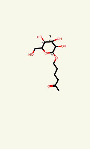 CC(=O)CCCCO[C@H]1OC(CO)[C@@H](O)[C@@](C)(O)C1O